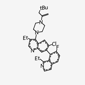 C=C(CC(C)(C)C)N1CCN(c2c(CC)cnc3cc(-c4c(F)ccc5ccnc(CC)c45)c(Cl)cc23)CC1